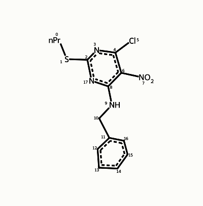 CCCSc1nc(Cl)c([N+](=O)[O-])c(NCc2ccccc2)n1